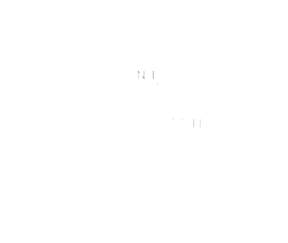 CC1(C(N)C(=O)O)CCC1